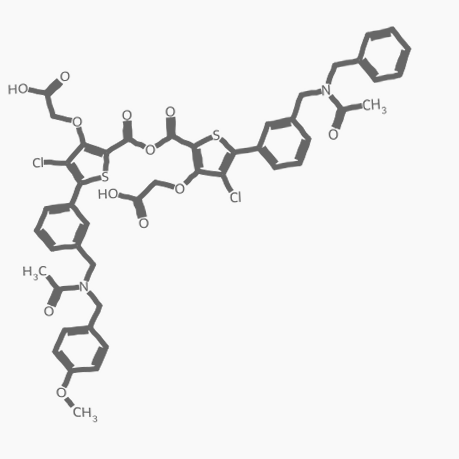 COc1ccc(CN(Cc2cccc(-c3sc(C(=O)OC(=O)c4sc(-c5cccc(CN(Cc6ccccc6)C(C)=O)c5)c(Cl)c4OCC(=O)O)c(OCC(=O)O)c3Cl)c2)C(C)=O)cc1